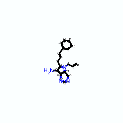 C=CCn1c(CC=Cc2ccccc2)c(N)c2ncncc21